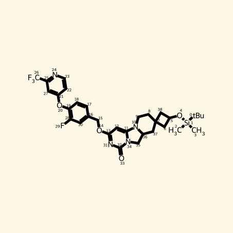 CC(C)(C)[Si](C)(C)OC1CC2(CCN3c4cc(OCc5ccc(Oc6ccnc(C(F)(F)F)c6)c(F)c5)nc(=O)n4CC3C2)C1